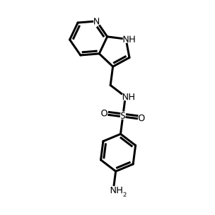 Nc1ccc(S(=O)(=O)NCc2c[nH]c3ncccc23)cc1